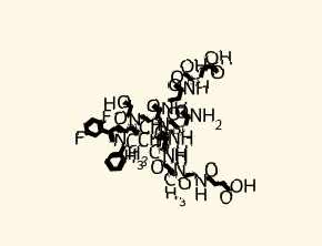 C[C@H](NC(=O)CNC(=O)CCC(=O)O)C(=O)N[C@@H](C)C(=O)N[C@@H](CC(N)=O)C(=O)N[C@@H](CCN(C(=O)CO)[C@@H](c1cc(-c2cc(F)ccc2F)cn1Cc1ccccc1)C(C)(C)C)C(=O)NCCC(=O)N[C@@H](CCC(=O)O)C(=O)O